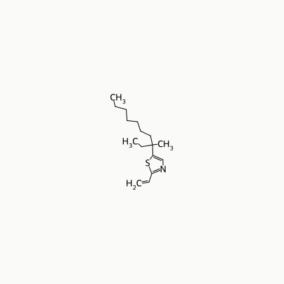 C=Cc1ncc(C(C)(CC)CCCCCCC)s1